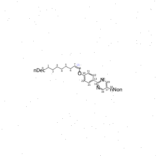 CCCCCCCCCCCCCCCC/C=C\Oc1ccc(-c2ncc(CCCCCCCCC)cn2)cc1